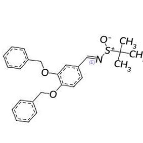 CC(C)(C)[S+]([O-])/N=C/c1ccc(OCc2ccccc2)c(OCc2ccccc2)c1